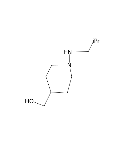 CC(C)CNN1CCC(CO)CC1